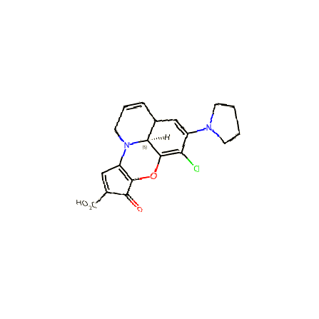 O=C(O)C1=CC2=C(OC3=C(Cl)C(N4CCCC4)=CC4C=CCN2[C@H]34)C1=O